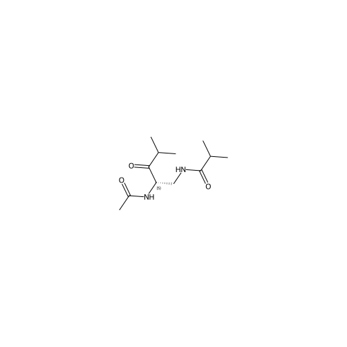 CC(=O)N[C@@H](CNC(=O)C(C)C)C(=O)C(C)C